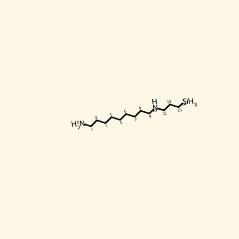 NCCCCCCCCCNCCC[SiH3]